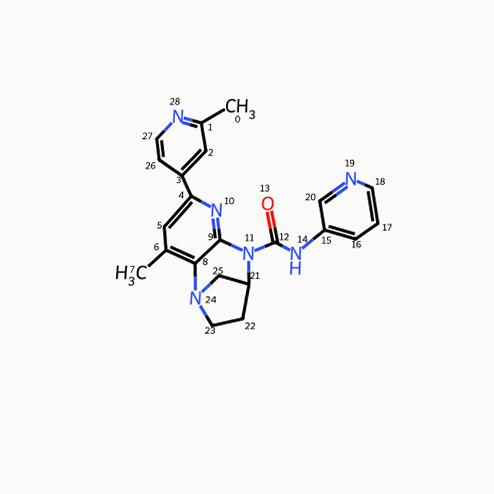 Cc1cc(-c2cc(C)c3c(n2)N(C(=O)Nc2cccnc2)C2CCN3C2)ccn1